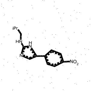 CC(C)CNc1ncc(-c2ccc([N+](=O)[O-])cc2)[nH]1